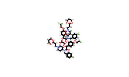 O=C(OC(C(=O)N(Cc1ccc(F)cc1)C1CCN(CCC2OCCCO2)CC1)c1ccc(OCCF)cc1)C(=O)OC(C(=O)N(Cc1ccc(F)cc1)C1CCN(CCC2OCCCO2)CC1)c1ccc(OCCF)cc1